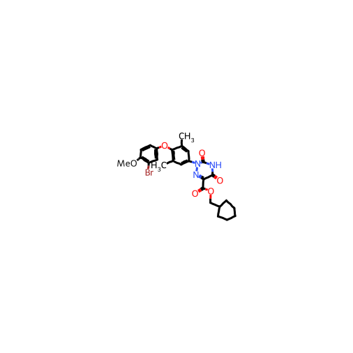 COc1ccc(Oc2c(C)cc(-n3nc(C(=O)OCC4CCCCC4)c(=O)[nH]c3=O)cc2C)cc1Br